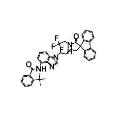 CC(C)(C)c1ccccc1C(=O)Nc1cccc2c1ncn2CCCCC1(C(=O)NCC(F)(F)F)c2ccccc2-c2ccccc21